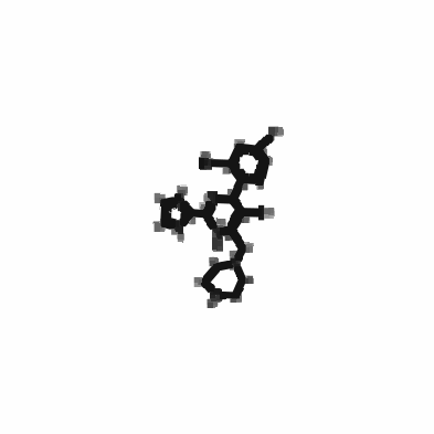 Fc1ccc(C2N=C(c3nccs3)NC(CN3CCOCC3)=C2I)c(Br)c1